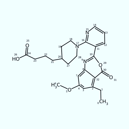 CCc1cc(OC)cc2nc(-c3cccnc3N3CCC(CCCC(=O)O)CC3)oc(=O)c12